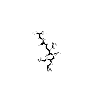 CCOC(CN(C)C(=O)[C@@H](CN)CCC(=O)OCC(C)C)OCC